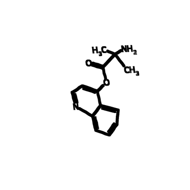 CC(C)(N)C(=O)Oc1ccnc2ccccc12